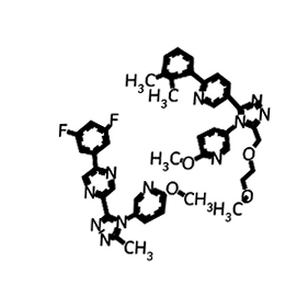 COCCOCc1nnc(-c2ccc(-c3cccc(C)c3C)nc2)n1-c1ccc(OC)nc1.COc1ccc(-n2c(C)nnc2-c2cnc(-c3cc(F)cc(F)c3)cn2)cn1